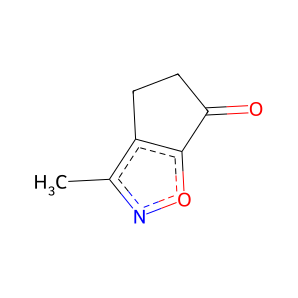 Cc1noc2c1CCC2=O